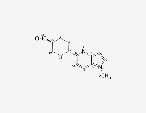 Cn1ccc2nc([C@H]3CC[C@H](C=O)CC3)ccc21